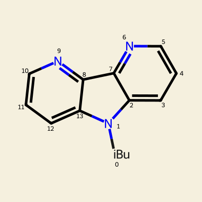 CCC(C)n1c2cccnc2c2ncccc21